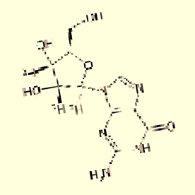 [2H][C@]1(O)[C@]([2H])(n2cnc3c(=O)[nH]c(N)nc32)O[C@H](CO)[C@@]1([2H])O